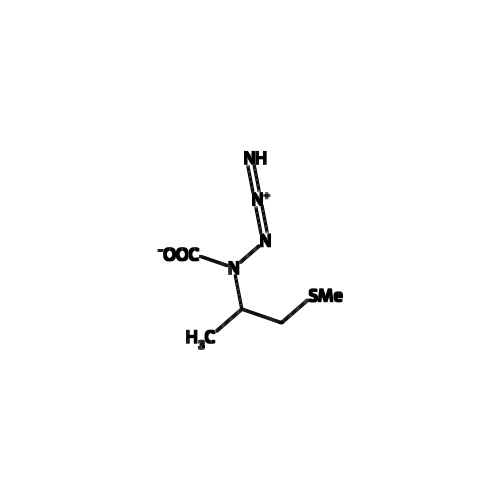 CSCC(C)N(N=[N+]=N)C(=O)[O-]